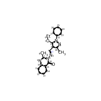 CCOc1c(/C=N/n2c(C)nc3ccccc3c2=O)c(C)nn1-c1ccccc1